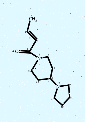 C/C=C/C(=O)N1CCC(N2CCCC2)CC1